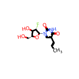 C/C=C/c1cn([C@@H]2O[C@H](CO)C(O)[C@@H]2F)c(=O)[nH]c1=O